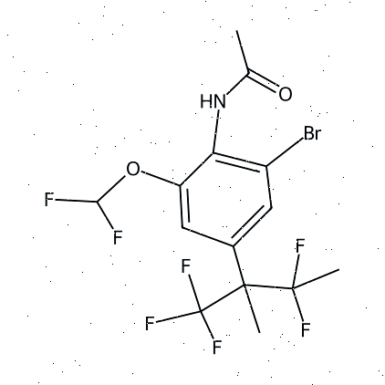 CC(=O)Nc1c(Br)cc(C(C)(C(C)(F)F)C(F)(F)F)cc1OC(F)F